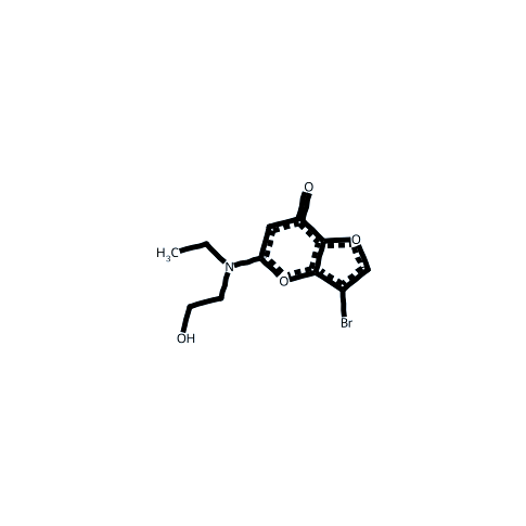 CCN(CCO)c1cc(=O)c2occ(Br)c2o1